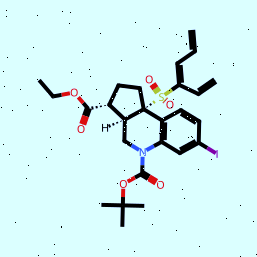 C=C/C=C(\C=C)S(=O)(=O)[C@@]12CC[C@@H](C(=O)OCC)[C@@H]1CN(C(=O)OC(C)(C)C)c1cc(I)ccc12